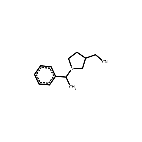 CC(c1ccccc1)N1CCC(CC#N)C1